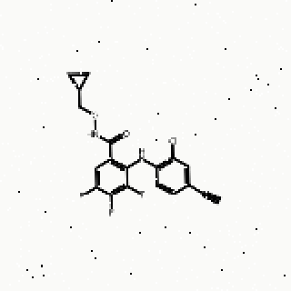 C#Cc1ccc(Nc2c(C(=O)NOCC3CC3)cc(F)c(F)c2F)c(Cl)c1